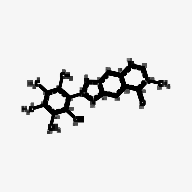 Cc1c(C)c(C)c(-n2nc3cc4ncn(C)c(=O)c4cc3n2)c(O)c1C